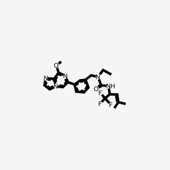 CCN(Cc1cccc(-c2cn3ccnc3c(OC)n2)c1)C(=O)NC(C=C(C)C)C(F)(F)F